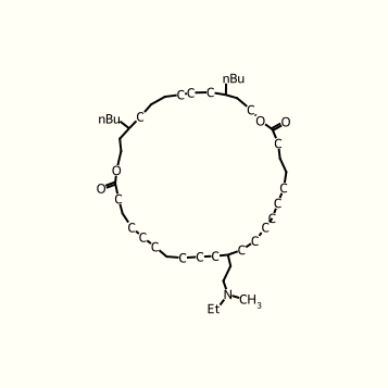 CCCCC1CCCCCCC(CCCC)CCOC(=O)CCCCCCCCCC(CCN(C)CC)CCCCCCCCCC(=O)OCC1